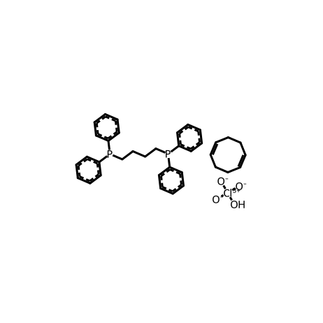 C1=C\CC/C=C\CC/1.[O-][Cl+3]([O-])([O-])O.c1ccc(P(CCCCP(c2ccccc2)c2ccccc2)c2ccccc2)cc1